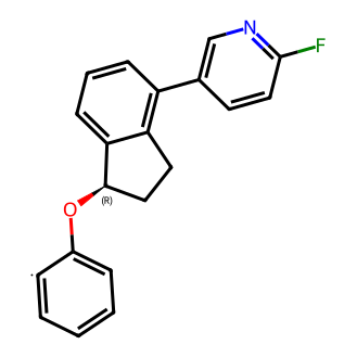 Fc1ccc(-c2cccc3c2CC[C@H]3Oc2[c]cccc2)cn1